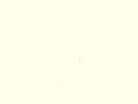 Cc1cc2c3c(c1)B(c1c(C)c(C)c(C)c(C)c1C)c1cc(F)ccc1N3c1ccc(F)cc1B2c1c(C)c(C)c(C)c(C)c1C